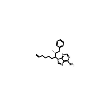 C=CCCCCC([C@H](C)Cc1ccccc1)n1cnc2c(N)ncnc21